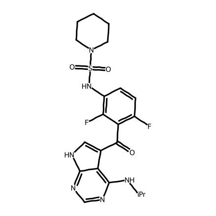 CC(C)Nc1ncnc2[nH]cc(C(=O)c3c(F)ccc(NS(=O)(=O)N4CCCCC4)c3F)c12